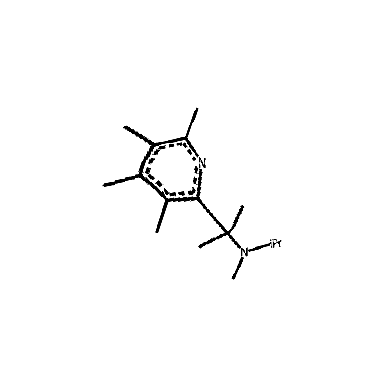 Cc1nc(C(C)(C)N(C)C(C)C)c(C)c(C)c1C